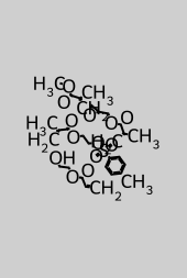 C=C(C)C(=O)OC.C=C(C)C(=O)OCC1CO1.C=C(C)C(=O)OCCOS(=O)(=O)c1ccc(C)cc1.C=CC(=O)OCCO